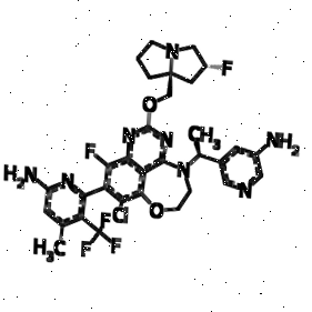 Cc1cc(N)nc(-c2c(Cl)c3c4c(nc(OC[C@@]56CCCN5C[C@H](F)C6)nc4c2F)N([C@@H](C)c2cncc(N)c2)CCO3)c1C(F)(F)F